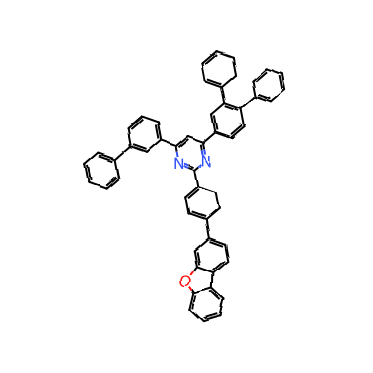 C1=CCCC(c2cc(-c3cc(-c4cccc(-c5ccccc5)c4)nc(C4=CC=C(c5ccc6c(c5)oc5ccccc56)CC4)n3)ccc2-c2ccccc2)=C1